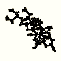 CCOC(CO[C@@H]1C[C@H]2[C@@H]3C[C@H](F)C4=CC(=O)C=C[C@]4(C)[C@H]3[C@@H](O)C[C@]2(C)[C@@]1(O)C(=O)CO)OCC